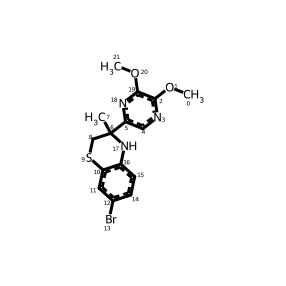 COc1ncc(C2(C)CSc3cc(Br)ccc3N2)nc1OC